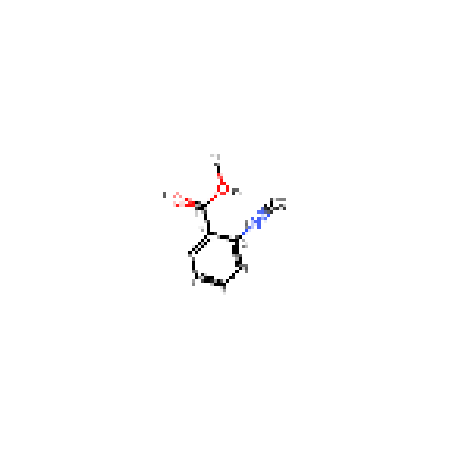 [C-]#[N+]c1ccccc1C(=O)OC